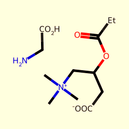 CCC(=O)OC(CC(=O)[O-])C[N+](C)(C)C.NCC(=O)O